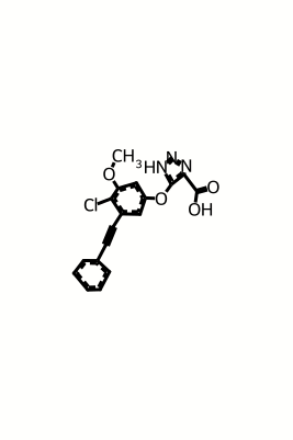 COc1cc(Oc2[nH]nnc2C(=O)O)cc(C#Cc2ccccc2)c1Cl